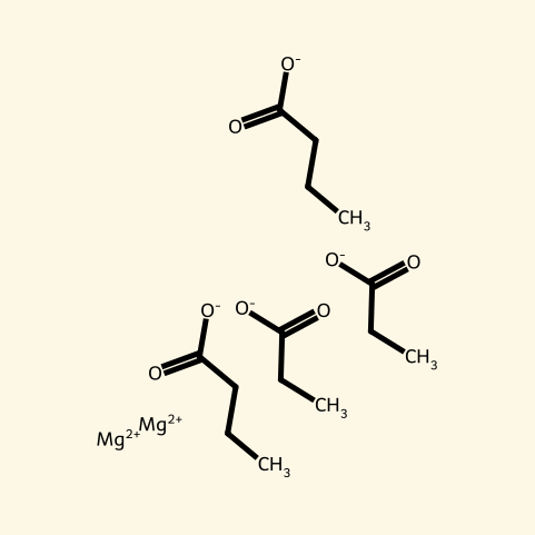 CCC(=O)[O-].CCC(=O)[O-].CCCC(=O)[O-].CCCC(=O)[O-].[Mg+2].[Mg+2]